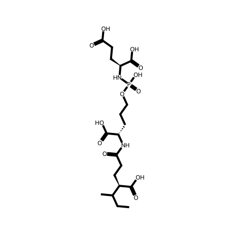 CCC(C)[C@@H](CCC(=O)N[C@@H](CCCOP(=O)(O)N[C@@H](CCC(=O)O)C(=O)O)C(=O)O)C(=O)O